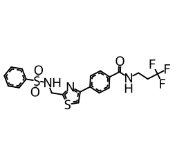 O=C(NCCC(F)(F)F)c1ccc(-c2csc(CNS(=O)(=O)c3ccccc3)n2)cc1